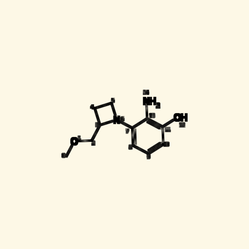 COCC1CCN1c1cccc(O)c1N